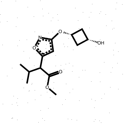 COC(=O)C(c1cc(O[C@H]2C[C@@H](O)C2)no1)C(C)C